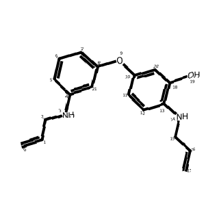 C=CCNc1cccc(Oc2ccc(NCC=C)c(O)c2)c1